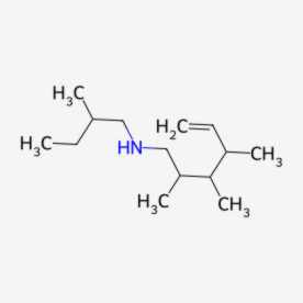 C=CC(C)C(C)C(C)CNCC(C)CC